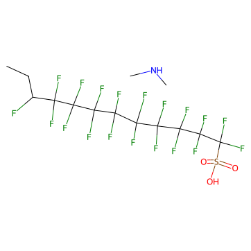 CCC(F)C(F)(F)C(F)(F)C(F)(F)C(F)(F)C(F)(F)C(F)(F)C(F)(F)C(F)(F)C(F)(F)S(=O)(=O)O.CNC